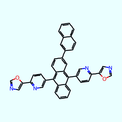 c1ccc2cc(-c3ccc4c(-c5ccc(-c6cnco6)nc5)c5ccccc5c(-c5ccc(-c6cnco6)nc5)c4c3)ccc2c1